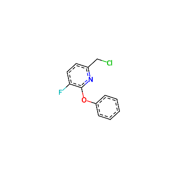 Fc1ccc(CCl)nc1Oc1ccccc1